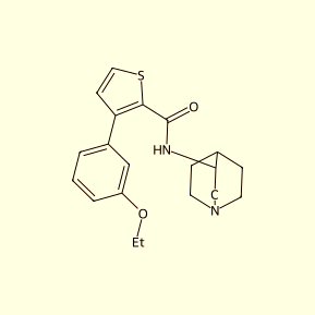 CCOc1cccc(-c2ccsc2C(=O)NC2CN3CCC2CC3)c1